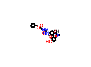 CO[C@@]12CC[C@@H](NCC(=O)NCC(=O)OCc3ccccc3)[C@@H]3Oc4c(O)ccc5c4[C@@]31CCN(C)[C@@H]2C5